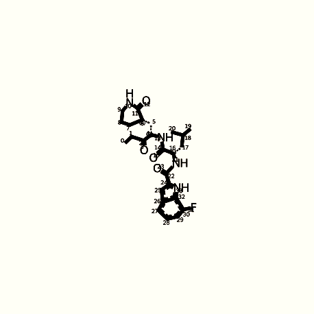 CCC(=O)[C@H](C[C@@H]1CCCNC1=O)NC(=O)[C@H](CC(C)C)NC(=O)c1cc2cccc(F)c2[nH]1